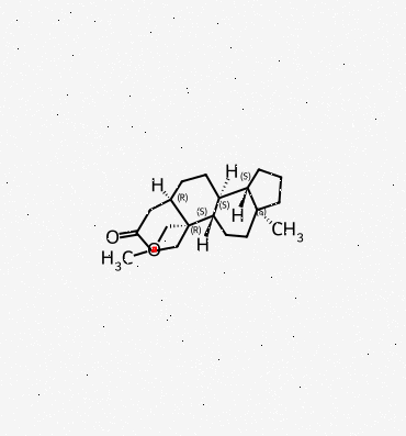 COC[C@]12CCC(=O)C[C@H]1CC[C@H]1[C@@H]3CCC[C@@]3(C)CC[C@@H]12